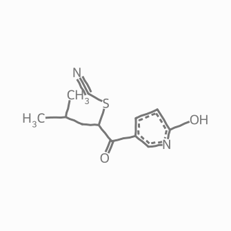 CC(C)CC(SC#N)C(=O)c1ccc(O)nc1